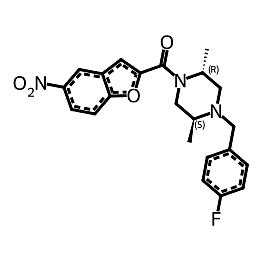 C[C@@H]1CN(Cc2ccc(F)cc2)[C@@H](C)CN1C(=O)c1cc2cc([N+](=O)[O-])ccc2o1